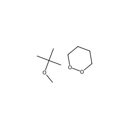 C1CCOOC1.COC(C)(C)C